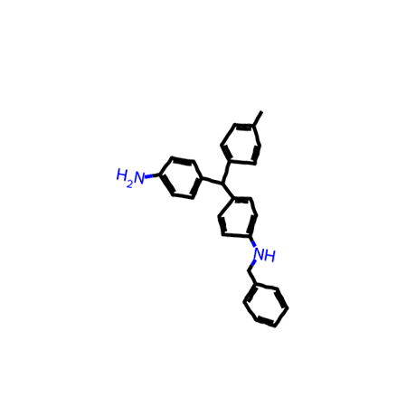 Cc1ccc(C(c2ccc(N)cc2)c2ccc(NCc3ccccc3)cc2)cc1